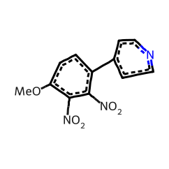 COc1ccc(-c2ccncc2)c([N+](=O)[O-])c1[N+](=O)[O-]